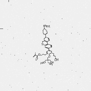 C=C(C)C(=O)OCCCc1cc(-c2ccc(-c3ccc(C4CCC(CCCCC)CC4)cc3F)c(CC)c2)cc(CCCO)c1OCC(CO)(CO)CO